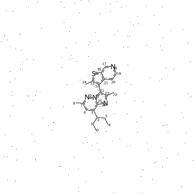 CCC(CC)c1cc(C)nn2c(-c3c(C)sc4cnccc34)c(C)nc12